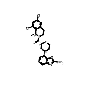 C[C@H]1c2c(Cl)cc(Cl)cc2CCN1C(=O)[C@H]1C[C@H](c2cncc3nc(N)oc23)CCO1